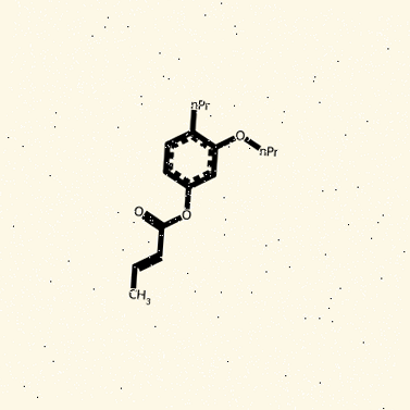 CC=CC(=O)Oc1ccc(CCC)c(OCCC)c1